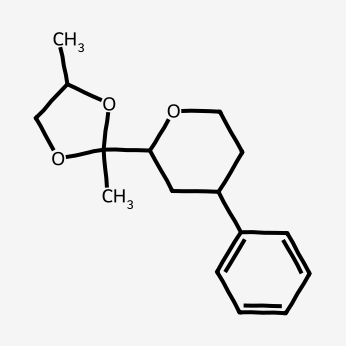 CC1COC(C)(C2CC(c3ccccc3)CCO2)O1